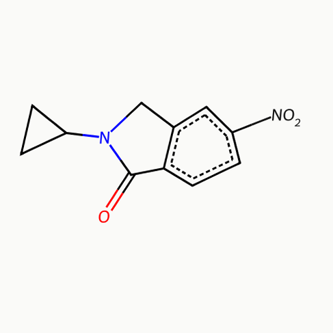 O=C1c2ccc([N+](=O)[O-])cc2CN1C1CC1